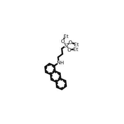 CCO[Si](CCCNc1cccc2cc3ccccc3cc12)(OCC)OCC